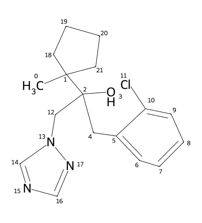 CC1(C(O)(Cc2ccccc2Cl)Cn2cncn2)CCCC1